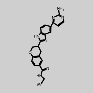 CC(C)CNC(=O)c1ccc2c(c1)CC(c1nc3cc(-c4ccnc(N)n4)ccc3[nH]1)CO2